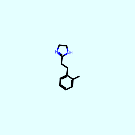 Cc1ccccc1CCC1=NCCN1